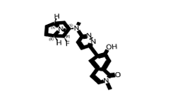 CN(c1ccc(-c2cc3ccn(C)c(=O)c3cc2O)nn1)[C@H]1C[C@@H]2CC[C@H]([C@H]1F)N2C